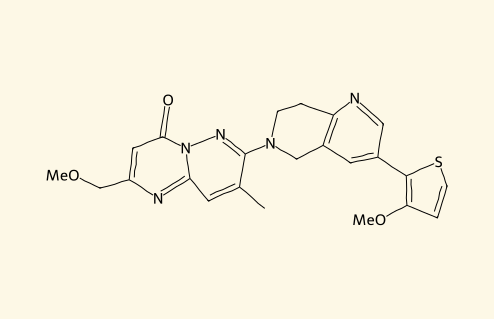 COCc1cc(=O)n2nc(N3CCc4ncc(-c5sccc5OC)cc4C3)c(C)cc2n1